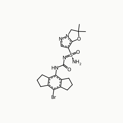 CC1(C)Cn2ncc([S@](N)(=O)=NC(=O)Nc3c4c(c(Br)c5c3CCC5)CCC4)c2O1